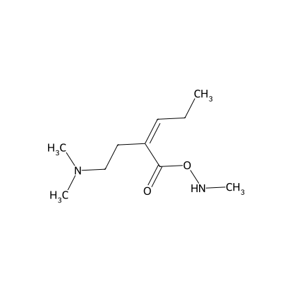 CCC=C(CCN(C)C)C(=O)ONC